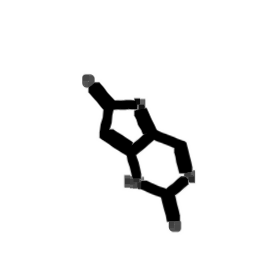 O=C1C=c2[nH]c(=O)ncc2=N1